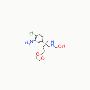 CC(CCC1OCCO1)(CNCO)c1ccc(Cl)c(N)c1